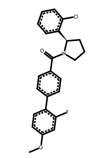 COc1ccc(-c2ccc(C(=O)N3CCC[C@@H]3c3ccccc3Cl)cc2)c(F)c1